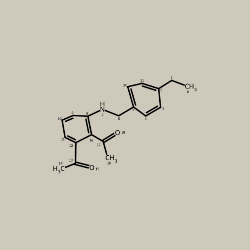 CCc1ccc(CNc2cccc(C(C)=O)c2C(C)=O)cc1